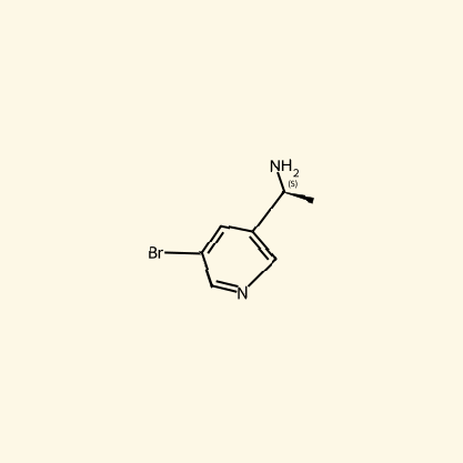 C[C@H](N)c1cncc(Br)c1